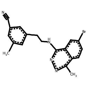 Cc1cc(C#N)cc(CCNc2nnc(C)c3ccc(Br)cc23)c1